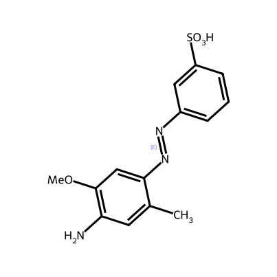 COc1cc(/N=N/c2cccc(S(=O)(=O)O)c2)c(C)cc1N